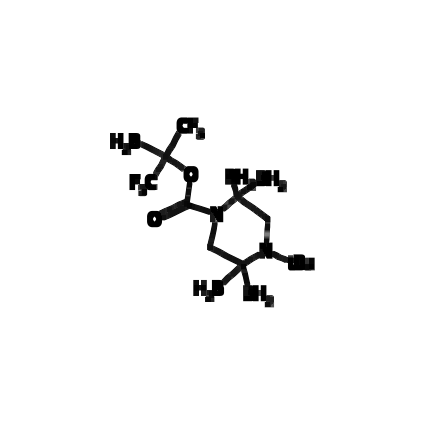 BC1(B)CN(C(C)(C)C)C(B)(B)CN1C(=O)OC(B)(C(F)(F)F)C(F)(F)F